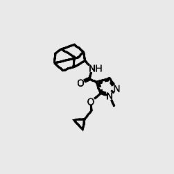 Cn1ncc(C(=O)NC2C3CC4CC(C3)CC2C4)c1OCC1CC1